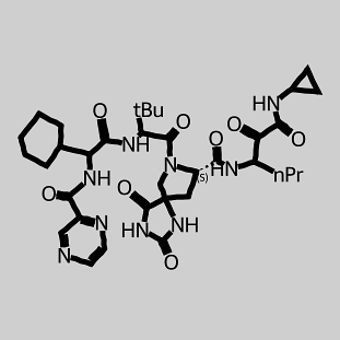 CCCC(NC(=O)[C@@H]1CC2(CN1C(=O)C(NC(=O)C(NC(=O)c1cnccn1)C1CCCCC1)C(C)(C)C)NC(=O)NC2=O)C(=O)C(=O)NC1CC1